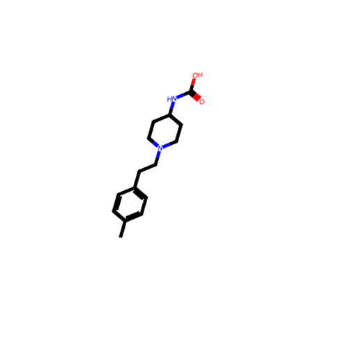 Cc1ccc(CCN2CCC(NC(=O)O)CC2)cc1